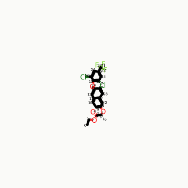 CCOC(=O)[C@@H](C)Oc1ccc2cc(Oc3c(Cl)cc(C(F)(F)F)cc3Cl)ccc2c1